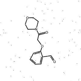 O=Cc1ccccc1OCC(=O)N1CCOCC1